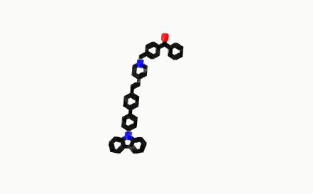 O=C(c1ccccc1)c1ccc(CN2C=CC(/C=C/c3ccc(-c4ccc(-n5c6ccccc6c6ccccc65)cc4)cc3)=CC2)cc1